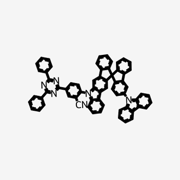 N#Cc1cc(-c2nc(-c3ccccc3)nc(-c3ccccc3)n2)ccc1-n1c2ccccc2c2cc3c(cc21)-c1ccccc1C31c2ccccc2-c2cc(-n3c4ccccc4c4ccccc43)ccc21